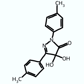 Cc1ccc(C2=NN(c3ccc(C)cc3)C(=O)C2(O)O)cc1